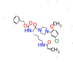 C=CC(=O)NCCCC[C@H](NC(=O)OCc1ccccc1)C(=O)N1CCN(c2cc(Cl)ccc2OC)CC1